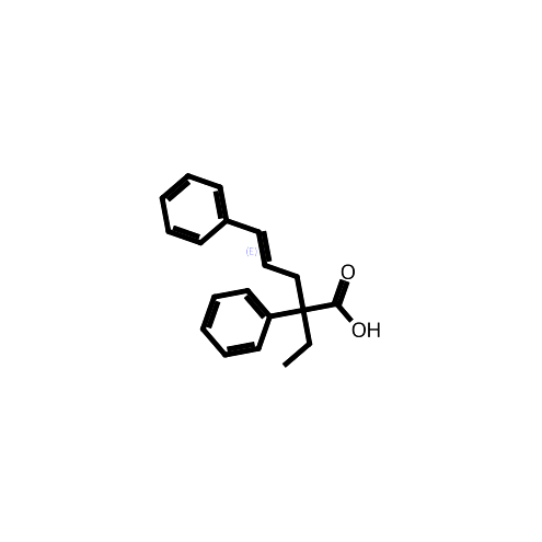 CCC(C/C=C/c1ccccc1)(C(=O)O)c1ccccc1